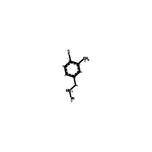 Cc1cc(CNC(C)C)ccc1F